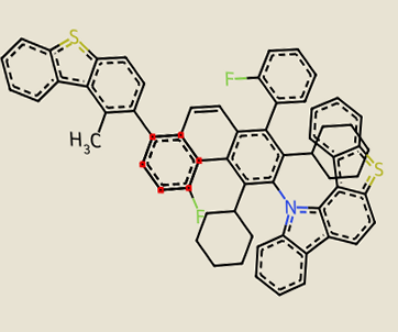 Cc1c(-c2ccccc2/C=C\c2c(-c3ccccc3F)c(C3CCCCC3)c(-n3c4ccccc4c4ccc5sc6ccccc6c5c43)c(C3CCCCC3)c2-c2ccccc2F)ccc2sc3ccccc3c12